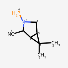 CC1(C)C2CN(P)C(C#N)C21